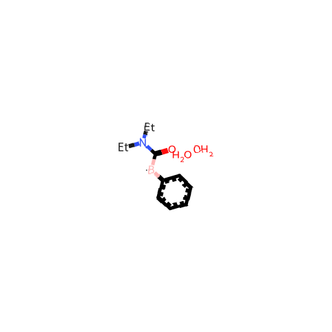 CCN(CC)C(=O)[B]c1ccccc1.O.O